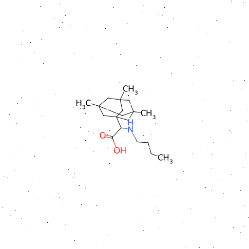 CCCCNC(C(=O)O)C12CC3(C)CC(C)(CC(C)(C3)C1)C2